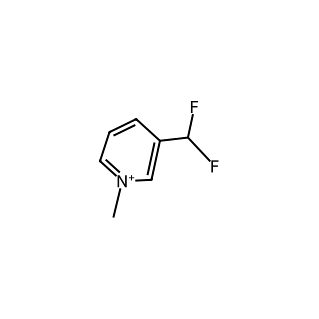 C[n+]1cccc(C(F)F)c1